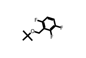 CC(C)(C)OCc1c(F)ccc(F)c1F